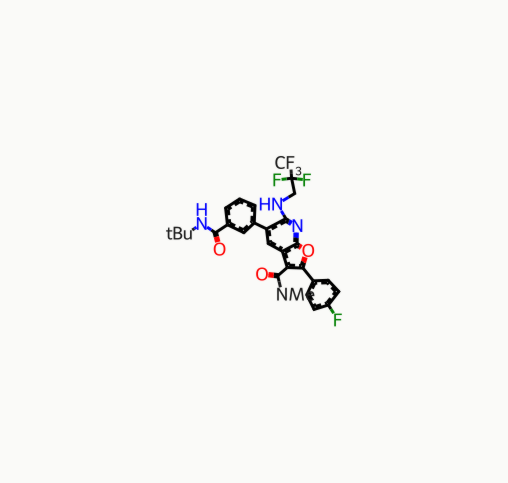 CNC(=O)c1c(-c2ccc(F)cc2)oc2nc(NCC(F)(F)C(F)(F)F)c(-c3cccc(C(=O)NC(C)(C)C)c3)cc12